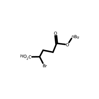 CCCCOC(=O)CCC(Br)C(=O)O